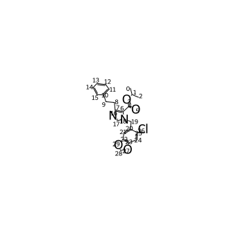 CC(C)OC(=O)c1c(CCc2ccccc2)ncn1Cc1cc2c(cc1Cl)OCO2